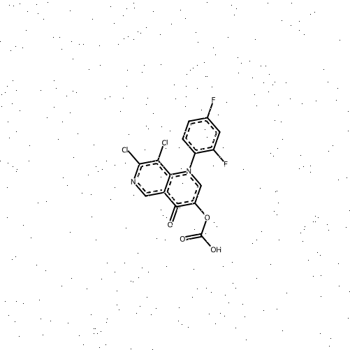 O=C(O)Oc1cn(-c2ccc(F)cc2F)c2c(Cl)c(Cl)ncc2c1=O